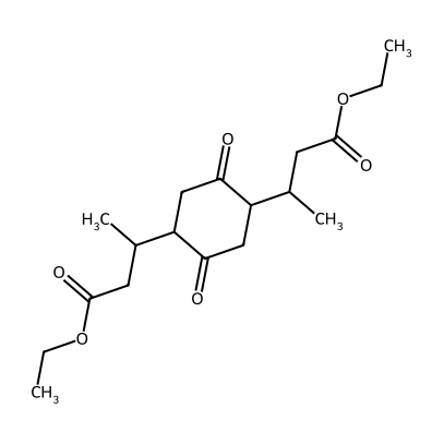 CCOC(=O)CC(C)C1CC(=O)C(C(C)CC(=O)OCC)CC1=O